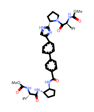 COC(=O)N[C@H](C(=O)N[C@H]1CCC[C@@H]1NC(=O)c1ccc(-c2ccc(-c3c[nH]c([C@@H]4CCCN4C(=O)[C@@H](NC(=O)OC)C(C)C)n3)cc2)cc1)C(C)C